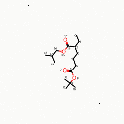 [CH2]CC(CCCC(=O)OC(C)(C)C)C(=O)OCC(C)C